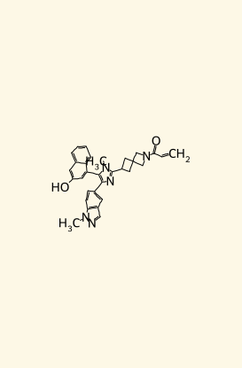 C=CC(=O)N1CC2(CC(c3nc(-c4ccc5c(cnn5C)c4)c(-c4cc(O)cc5ccccc45)n3C)C2)C1